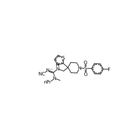 CCCN(C)/C(=N\C#N)NCC1(c2cccs2)CCN(S(=O)(=O)c2ccc(F)cc2)CC1